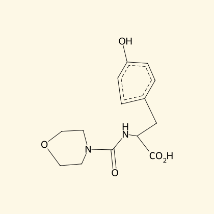 O=C(O)C(Cc1ccc(O)cc1)NC(=O)N1CCOCC1